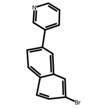 Brc1ccc2ccc(-c3cccnc3)cc2c1